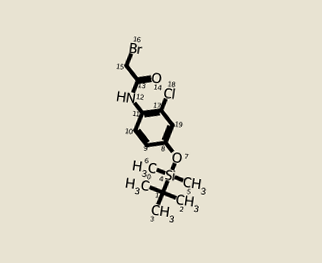 CC(C)(C)[Si](C)(C)Oc1ccc(NC(=O)CBr)c(Cl)c1